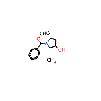 C.O=COC(c1ccccc1)N1CCC(O)C1